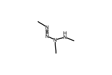 CN=NN(C)NC